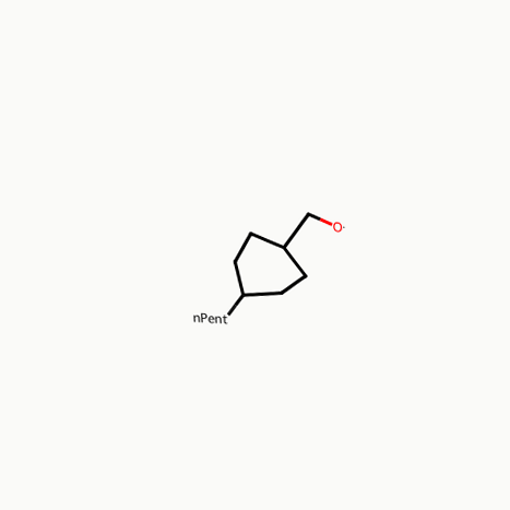 CCCCCC1CCC(C[O])CC1